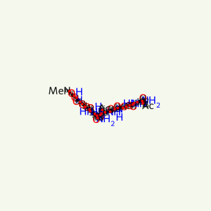 CNCCOCCOCC(=O)NCCOCCOCC(=O)NCCCC[C@H](NC(=O)[C@H](CCCCNC(=O)CCCC(=O)NCCOCCOCC(=O)NCCCC[C@H](NCC(C)=O)C(N)=O)NCC(C)=O)C(N)=O